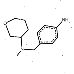 CN(Cc1ccc(N)cc1)C1CCCOC1